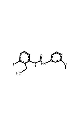 COc1cc(NC(=O)Nc2cccc(F)c2CO)ccn1